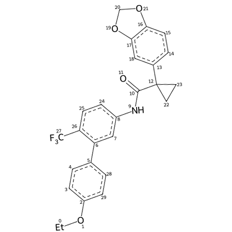 CCOc1ccc(-c2cc(NC(=O)C3(c4ccc5c(c4)OCO5)CC3)ccc2C(F)(F)F)cc1